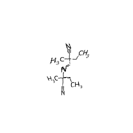 CCC(C)(C#N)/C=N/C(C)(C#N)CC